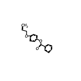 C=CCOc1ccc(OC(=O)c2ccccc2)cc1